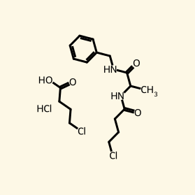 CC(NC(=O)CCCCl)C(=O)NCc1ccccc1.Cl.O=C(O)CCCCl